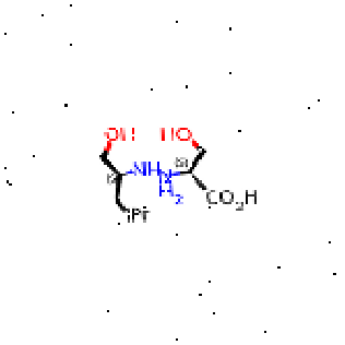 CC(C)C[C@H](N)CO.N[C@@H](CO)C(=O)O